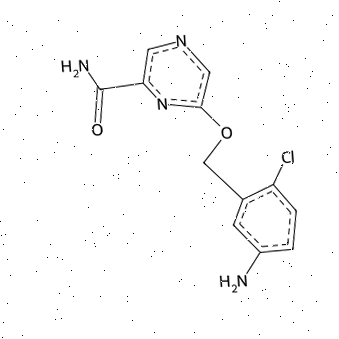 NC(=O)c1cncc(OCc2cc(N)ccc2Cl)n1